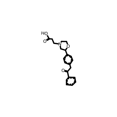 O=C(O)CCN1CCOC(c2ccc(CC(=O)c3ccccc3)cc2)C1